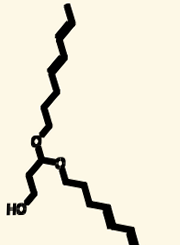 CC=CC=CCCCOC(CCO)OCCCC=CC=CC